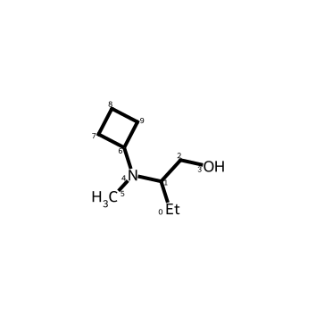 CCC(CO)N(C)C1CCC1